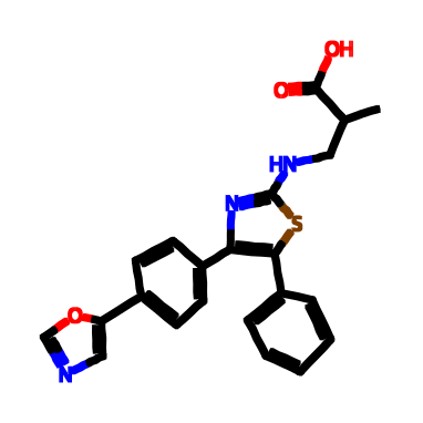 CC(CNc1nc(-c2ccc(-c3cnco3)cc2)c(-c2ccccc2)s1)C(=O)O